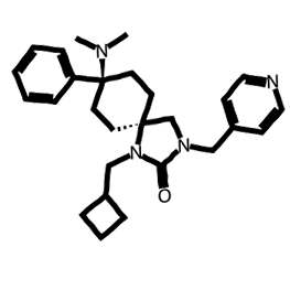 CN(C)[C@]1(c2ccccc2)CC[C@]2(CC1)CN(Cc1ccncc1)C(=O)N2CC1CCC1